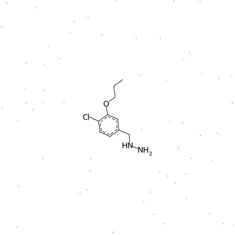 CCCOc1cc(CNN)ccc1Cl